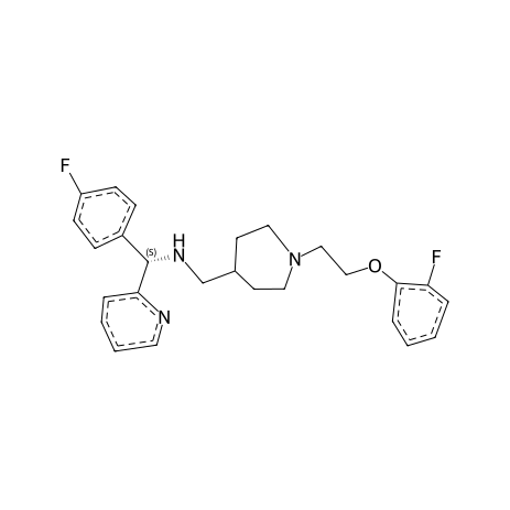 Fc1ccc([C@H](NCC2CCN(CCOc3ccccc3F)CC2)c2ccccn2)cc1